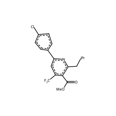 COC(=O)c1c(C(F)(F)F)cc(-c2ccc(Cl)cc2)nc1CC(C)C